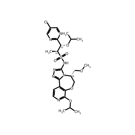 COC[C@@H]1COc2c(ccnc2OC(C)C)-c2nnc(NS(=O)(=O)[C@@H](C)[C@@H](OC(C)C)c3ncc(Cl)cn3)n21